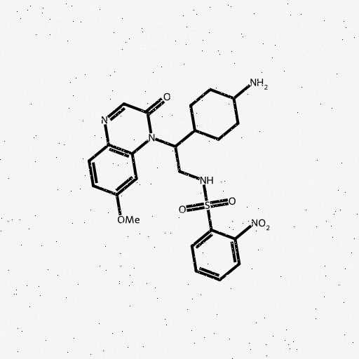 COc1ccc2ncc(=O)n(C(CNS(=O)(=O)c3ccccc3[N+](=O)[O-])C3CCC(N)CC3)c2c1